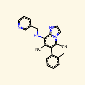 Cc1ccccc1-c1c(C#N)c(NCc2cccnc2)c2nccn2c1C#N